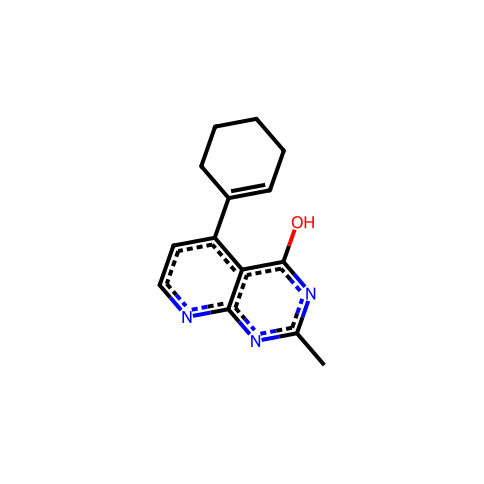 Cc1nc(O)c2c(C3=CCCCC3)ccnc2n1